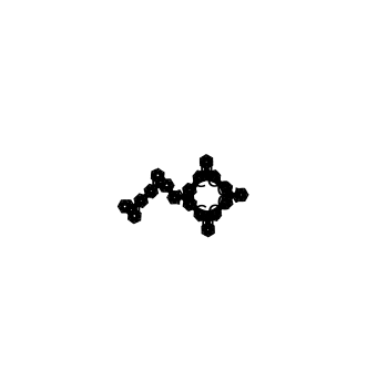 C1=CC2C3=C(C=CCC3)N(c3ccc(-c4ccc(N5C6=C(CCC=C6)C6C=CC(c7cccc(-n8c9ccc%10cc9c9cc(ccc98)c8ccc9c(c8)c8cc(ccc8n9-c8ccccc8)c8ccc9c(c8)c8cc(ccc8n9-c8ccccc8)c8ccc9c(c8)c8cc%10ccc8n9-c8ccccc8)c7)=CC65)cc4)cc3)C2C=C1